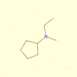 [CH2]CN(C)C1CCCC1